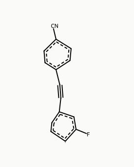 N#Cc1ccc(C#Cc2cc[c]c(F)c2)cc1